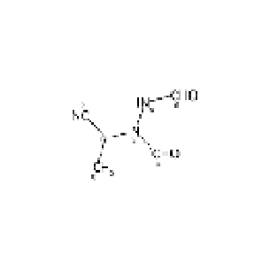 CC(C#N)N(C=O)NC=O